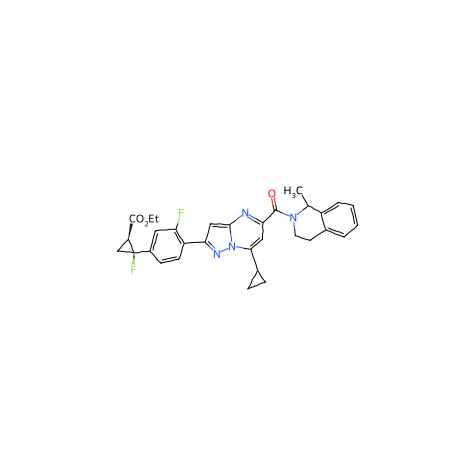 CCOC(=O)[C@@H]1C[C@@]1(F)c1ccc(-c2cc3nc(C(=O)N4CCc5ccccc5C4C)cc(C4CC4)n3n2)c(F)c1